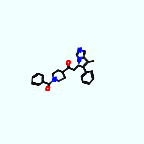 CC1=C(c2ccccc2)C(CC(=O)C2CCN(C(=O)c3ccccc3)CC2)n2cncc21